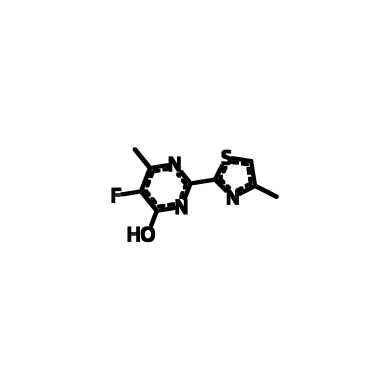 Cc1csc(-c2nc(C)c(F)c(O)n2)n1